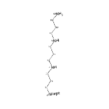 CCCCCCCCCCNCCCNCCCN